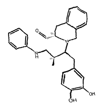 C[C@@H](CNc1ccccc1)C(Cc1ccc(O)c(O)c1)N1Cc2ccccc2C[C@H]1C=O